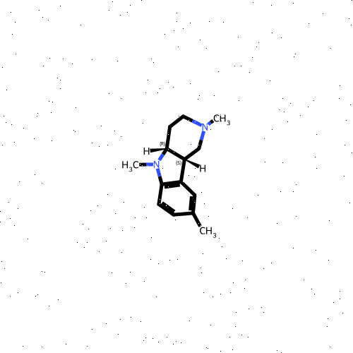 Cc1ccc2c(c1)[C@H]1CN(C)CC[C@H]1N2C